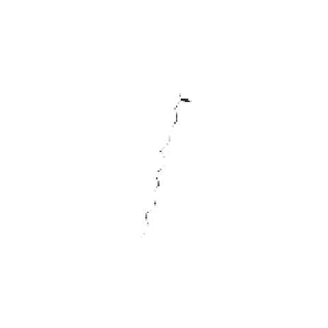 CCC(=O)CCOCCOCCOCCON